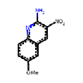 COc1ccc2nc(N)c([N+](=O)[O-])cc2c1